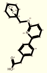 O=C(O)Cc1ccc(-c2cccc(OCC34CCC(CC3)CC4)n2)cc1